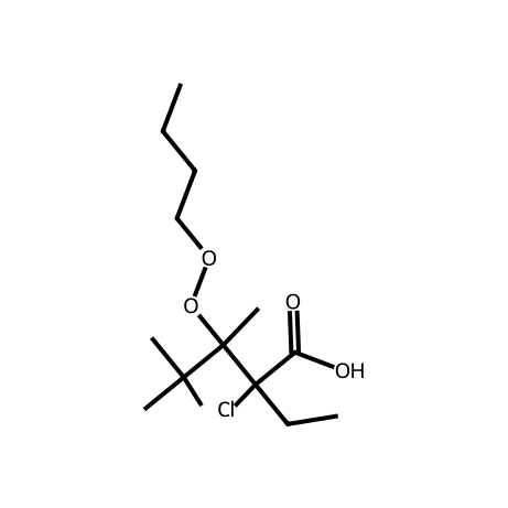 CCCCOOC(C)(C(C)(C)C)C(Cl)(CC)C(=O)O